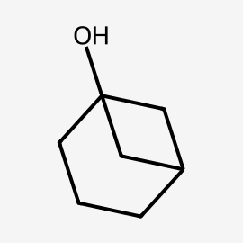 OC12CCCC(C1)C2